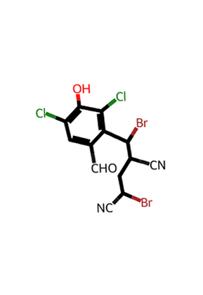 N#CC(Br)CC(C#N)C(Br)c1c(C=O)cc(Cl)c(O)c1Cl